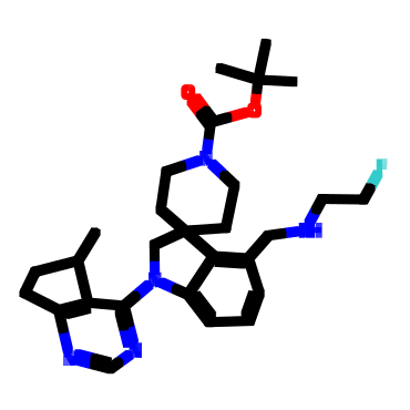 CC1CCc2ncnc(N3CC4(CCN(C(=O)OC(C)(C)C)CC4)c4c(CNCCF)cccc43)c21